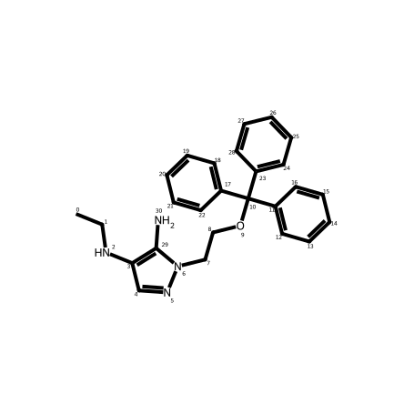 CCNc1cnn(CCOC(c2ccccc2)(c2ccccc2)c2ccccc2)c1N